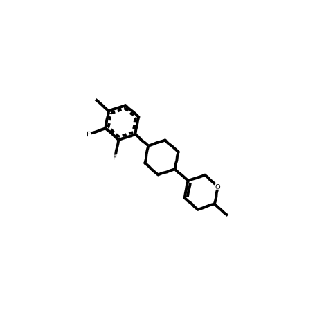 Cc1ccc(C2CCC(C3=CCC(C)OC3)CC2)c(F)c1F